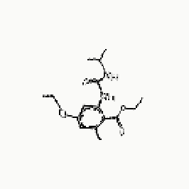 CCOC(=O)c1c(C)cc(OCC)cc1NC(=O)NC(C)C